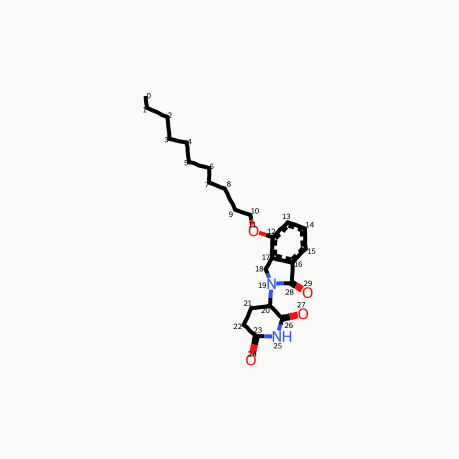 CCCCCCCCCCCOc1cccc2c1CN(C1CCC(=O)NC1=O)C2=O